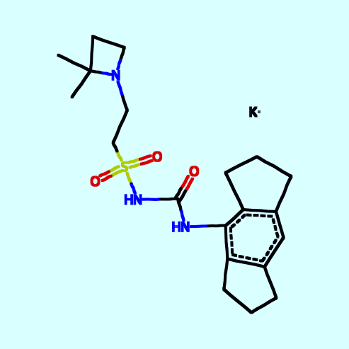 CC1(C)CCN1CCS(=O)(=O)NC(=O)Nc1c2c(cc3c1CCC3)CCC2.[K]